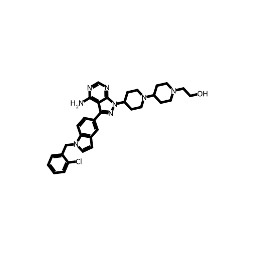 Nc1ncnc2c1c(-c1ccc3c(ccn3Cc3ccccc3Cl)c1)nn2C1CCN(C2CCN(CCO)CC2)CC1